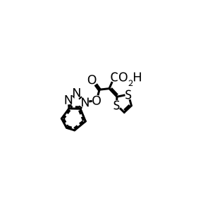 O=C(O)C(C(=O)On1nnc2ccccc21)=C1SC=CS1